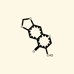 O=Cc1coc2cc3c(cc2c1=O)OCO3